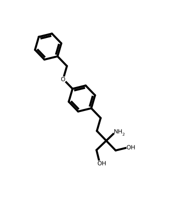 NC(CO)(CO)CCc1ccc(OCc2ccccc2)cc1